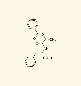 CC(SC(=O)c1ccccc1)C(=O)N[C@@H](Cc1ccccc1)C(=O)O